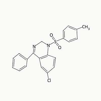 Cc1ccc(S(=O)(=O)N2CN=C(c3ccccc3)c3cc(Cl)ccc32)cc1